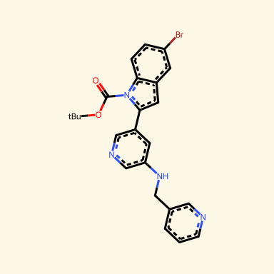 CC(C)(C)OC(=O)n1c(-c2cncc(NCc3cccnc3)c2)cc2cc(Br)ccc21